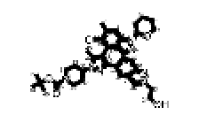 Cc1cc2c(cnn2C2CCCCO2)c(-c2c(-c3ccc4nn(CCO)cc4c3)nn(C3CCN(C(=O)OC(C)(C)C)CC3)c2C)c1Cl